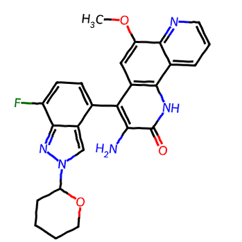 COc1cc2c(-c3ccc(F)c4nn(C5CCCCO5)cc34)c(N)c(=O)[nH]c2c2cccnc12